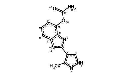 Cc1n[nH]cc1-c1nc2c(OC(N)=O)cccc2[nH]1